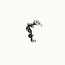 CCC(CC)C1=NC(C(=O)N2CCOC3(CCN(Cc4cccc(CCO)c4F)CC3)C2)CS1